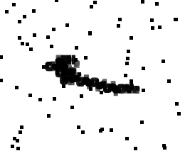 COCCOCCOCCOCCS(=O)(=O)CCC(C)(N)C(Cl)Cl